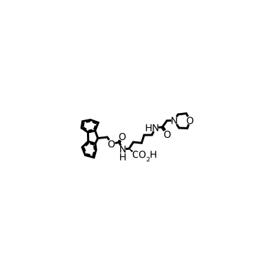 O=C(CN1CCOCC1)NCCCC[C@H](NC(=O)OCC1c2ccccc2-c2ccccc21)C(=O)O